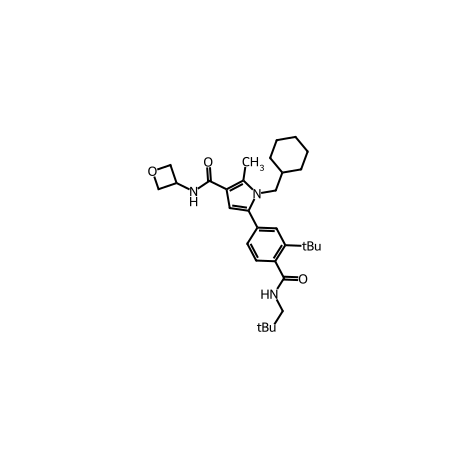 Cc1c(C(=O)NC2COC2)cc(-c2ccc(C(=O)NCC(C)(C)C)c(C(C)(C)C)c2)n1CC1CCCCC1